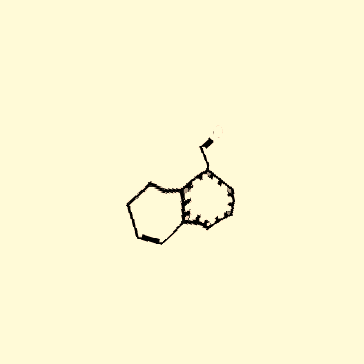 O=Cc1cccc2c1CCC=C2